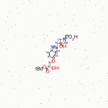 CC(C)(C)OC(=O)C(O)COc1ccc2nn(CC3(O)CN(C(=O)O)C3)cc2c1